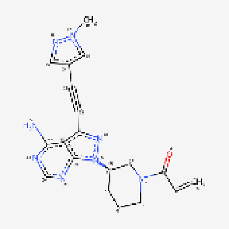 C=CC(=O)N1CCC[C@@H](n2nc(C#Cc3cnn(C)c3)c3c(N)ncnc32)C1